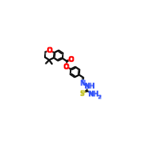 CC1(C)CCOc2ccc(C(=O)Oc3ccc(/C=N/NC(N)=S)cc3)cc21